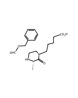 C[C@@H]1NCCN(CCCCC(=O)O)C1=O.O=COCc1ccccc1